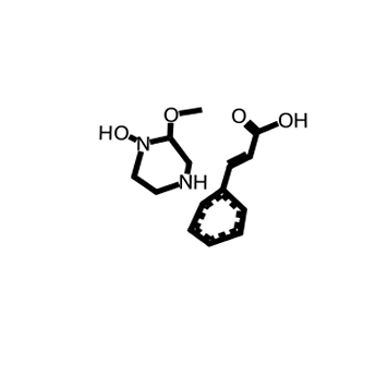 COC1CNCCN1O.O=C(O)C=Cc1ccccc1